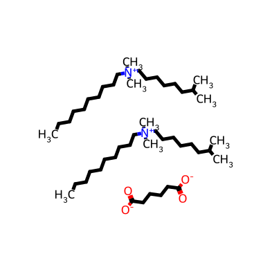 CCCCCCCCCC[N+](C)(C)CCCCCCC(C)C.CCCCCCCCCC[N+](C)(C)CCCCCCC(C)C.O=C([O-])CCCCC(=O)[O-]